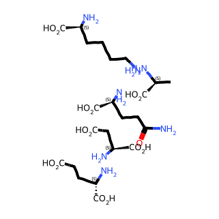 C[C@H](N)C(=O)O.NC(=O)CC[C@H](N)C(=O)O.NCCCC[C@H](N)C(=O)O.N[C@@H](CC(=O)O)C(=O)O.N[C@@H](CCC(=O)O)C(=O)O